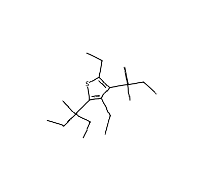 CCc1sc(C(C)(CC)CC)c(CC)c1C(C)(C)CC